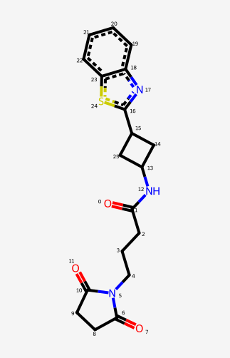 O=C(CCCN1C(=O)CCC1=O)NC1CC(c2nc3ccccc3s2)C1